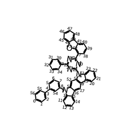 c1ccc(-c2cccc(-n3c4ccccc4c4cc5c6ccccc6n(-c6nc(-c7ccccc7)nc(-c7cccc8c7oc7ccccc78)n6)c5cc43)c2)cc1